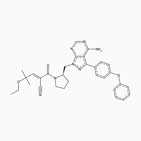 CCOC(C)(C)/C=C(\C#N)C(=O)N1CCC[C@@H]1Cn1nc(-c2ccc(Oc3ccccc3)cc2)c2c(N)ncnc21